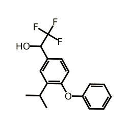 CC(C)c1cc(C(O)C(F)(F)F)ccc1Oc1ccccc1